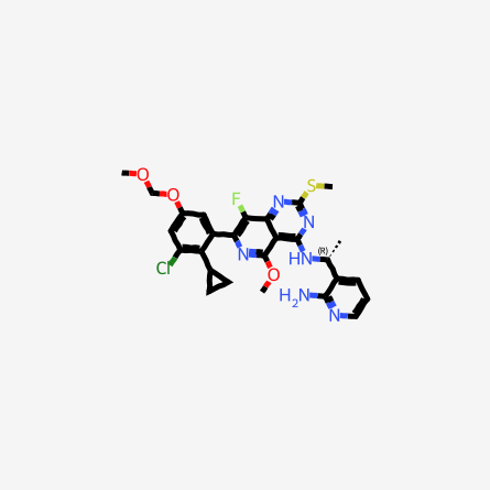 COCOc1cc(Cl)c(C2CC2)c(-c2nc(OC)c3c(N[C@H](C)c4cccnc4N)nc(SC)nc3c2F)c1